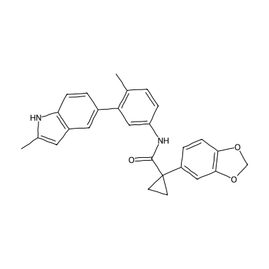 Cc1cc2cc(-c3cc(NC(=O)C4(c5ccc6c(c5)OCO6)CC4)ccc3C)ccc2[nH]1